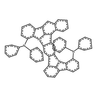 c1ccc(N(c2ccccc2)c2cccc3c4cccc5c6cc7c(cc6n(c23)c54)c2c3ccccc3cc3c4cccc(N(c5ccccc5)c5ccccc5)c4n7c32)cc1